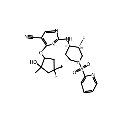 CC1(O)CC(F)(F)CC1Oc1nc(N[C@@H]2CCN(S(=O)(=O)c3ccccn3)C[C@H]2F)ncc1C#N